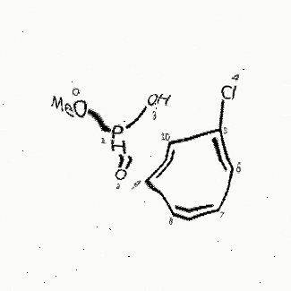 CO[PH](=O)O.Clc1ccccc1